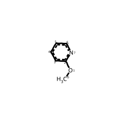 COc1c[c]c[c]n1